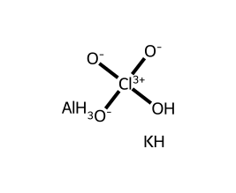 [AlH3].[KH].[O-][Cl+3]([O-])([O-])O